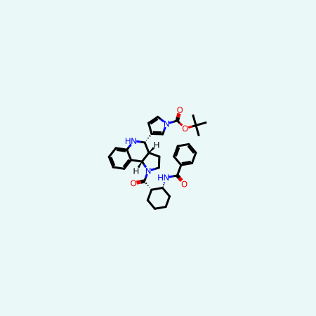 CC(C)(C)OC(=O)n1ccc([C@H]2Nc3ccccc3[C@@H]3[C@H]2CCN3C(=O)[C@H]2CCCC[C@H]2NC(=O)c2ccccc2)c1